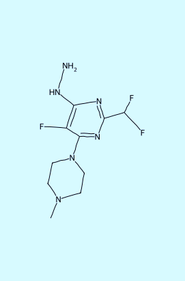 CN1CCN(c2nc(C(F)F)nc(NN)c2F)CC1